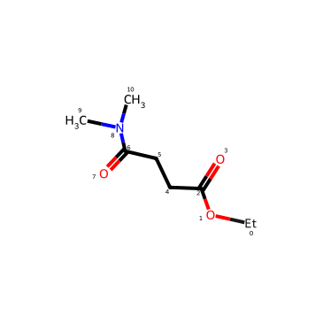 CCOC(=O)CCC(=O)N(C)C